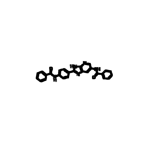 O=C(Nc1ccc(-c2nc3cc(NC(=O)c4ccccc4)cnc3[nH]2)cc1)c1ccccc1